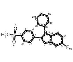 CS(=O)(=O)c1ccc(-c2cc3cc(F)ccc3n2-c2cccnc2)cc1